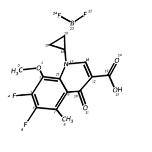 COc1c(F)c(F)c(C)c2c(=O)c(C(=O)O)cn(C3CC3)c12.F[B]F